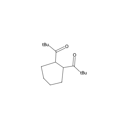 CC(C)(C)C(=O)C1CCCCC1C(=O)C(C)(C)C